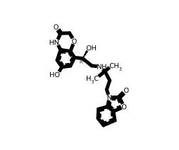 CC(C)(CCn1c(=O)oc2ccccc21)NC[C@H](O)c1cc(O)cc2c1OCC(=O)N2